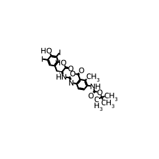 Cc1c(NC(=O)OC(C)(C)C)ccc2nc(N[C@@H](Cc3cc(I)c(O)c(I)c3)C(=O)O)oc(=O)c12